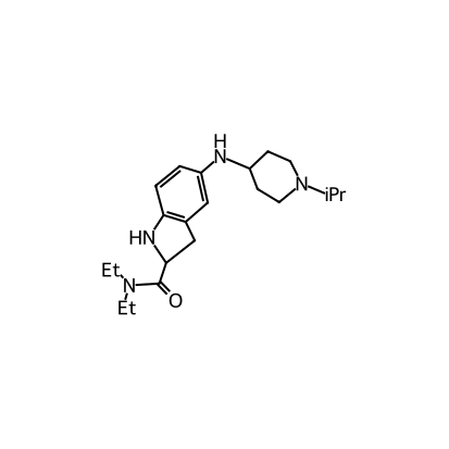 CCN(CC)C(=O)C1Cc2cc(NC3CCN(C(C)C)CC3)ccc2N1